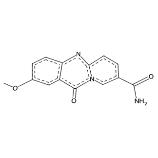 COc1ccc2nc3ccc(C(N)=O)cn3c(=O)c2c1